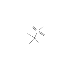 CCC(C)(C(C)C)S(N)(=O)=O